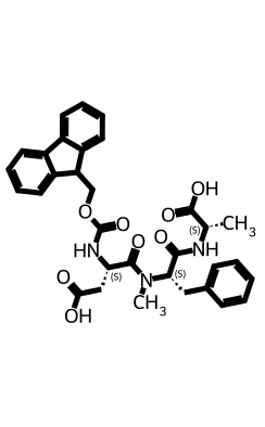 C[C@H](NC(=O)[C@H](Cc1ccccc1)N(C)C(=O)[C@H](CC(=O)O)NC(=O)OCC1c2ccccc2-c2ccccc21)C(=O)O